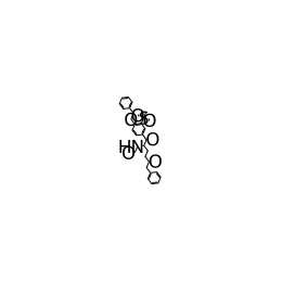 CS(=O)(=O)c1cc(C(=O)C(CCC(=O)Cc2ccccc2)NC=O)ccc1OCc1ccccc1